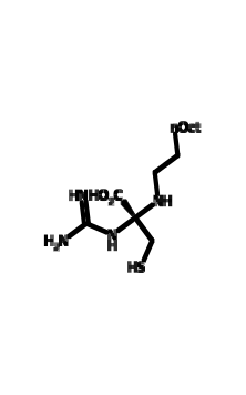 CCCCCCCCCCN[C@](CS)(NC(=N)N)C(=O)O